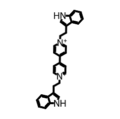 c1ccc2c(CC[n+]3ccc(-c4cc[n+](CCc5c[nH]c6ccccc56)cc4)cc3)c[nH]c2c1